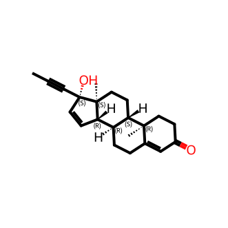 CC#C[C@]1(O)C=C[C@H]2[C@@H]3CCC4=CC(=O)CC[C@]4(C)[C@H]3CC[C@@]21C